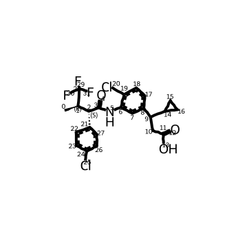 C[C@H]([C@H](C(=O)Nc1cc(C(CC(=O)O)C2CC2)ccc1Cl)c1ccc(Cl)cc1)C(F)(F)F